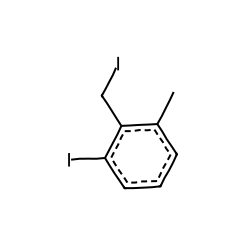 Cc1cccc(I)c1CI